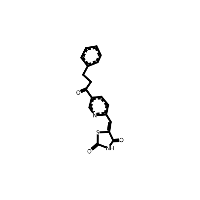 O=C1NC(=O)C(=Cc2ccc(C(=O)CCc3ccccc3)cn2)S1